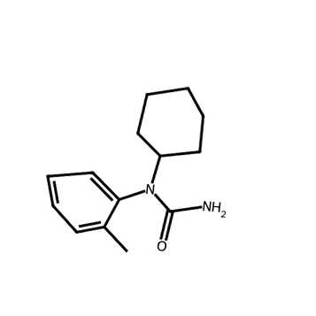 Cc1ccccc1N(C(N)=O)C1CCCCC1